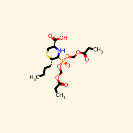 CCCC[C@@H]1SC[C@@H](C(=O)O)N[C@@H]1P(=O)(OCOC(=O)CC)OCOC(=O)CC